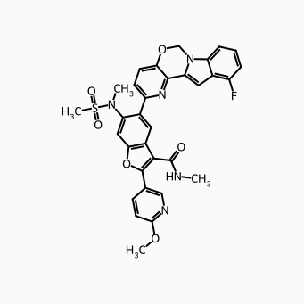 CNC(=O)c1c(-c2ccc(OC)nc2)oc2cc(N(C)S(C)(=O)=O)c(-c3ccc4c(n3)-c3cc5c(F)cccc5n3CO4)cc12